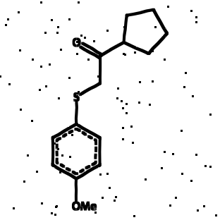 COc1ccc(SCC(=O)C2CCCC2)cc1